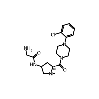 NCC(=O)NC1CN[C@H](C(=O)N2CCN(c3ccccc3Cl)CC2)C1